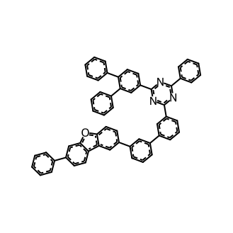 c1ccc(-c2ccc3c(c2)oc2ccc(-c4cccc(-c5cccc(-c6nc(-c7ccccc7)nc(-c7ccc(-c8ccccc8)c(-c8ccccc8)c7)n6)c5)c4)cc23)cc1